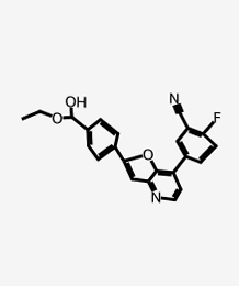 CCOC(O)c1ccc(-c2cc3nccc(-c4ccc(F)c(C#N)c4)c3o2)cc1